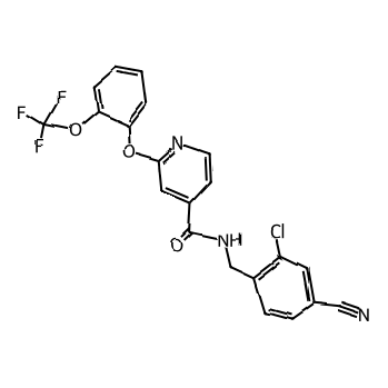 N#Cc1ccc(CNC(=O)c2ccnc(Oc3ccccc3OC(F)(F)F)c2)c(Cl)c1